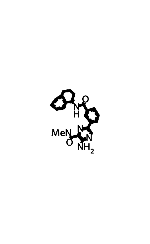 CNC(=O)c1nc(-c2cccc(C(=O)N[C@@H]3CCCc4ccccc43)c2)cnc1N